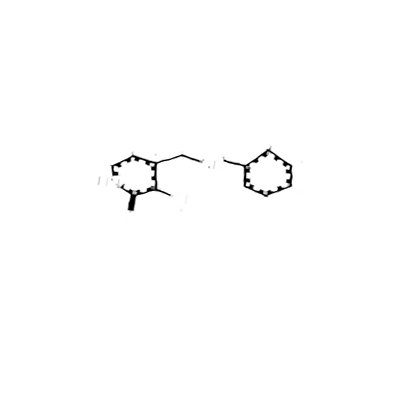 O=c1[nH]ccc(CNCc2ccccc2)c1O